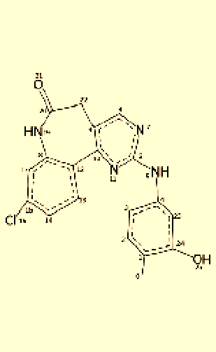 Cc1ccc(Nc2ncc3c(n2)-c2ccc(Cl)cc2NC(=O)C3)cc1O